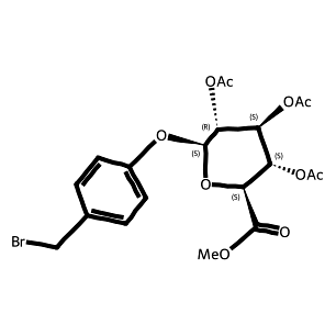 COC(=O)[C@H]1O[C@@H](Oc2ccc(CBr)cc2)[C@H](OC(C)=O)[C@@H](OC(C)=O)[C@@H]1OC(C)=O